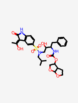 CC(O)=C1C(=O)Nc2ccc(S(=O)(=O)N(CC(C)C)CC(O)C(Cc3ccccc3)NC(=O)OC3COC4OCCC34)cc21